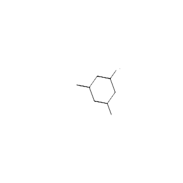 BrC1CC(I)CC(I)C1